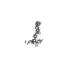 CN1CCC(Nc2cc(-c3ccc(CNc4ccc5c(c4)CCN(C(=O)OC(C)(C)C)C5)cc3)cc3c2ccn3CC(F)(F)F)CC1